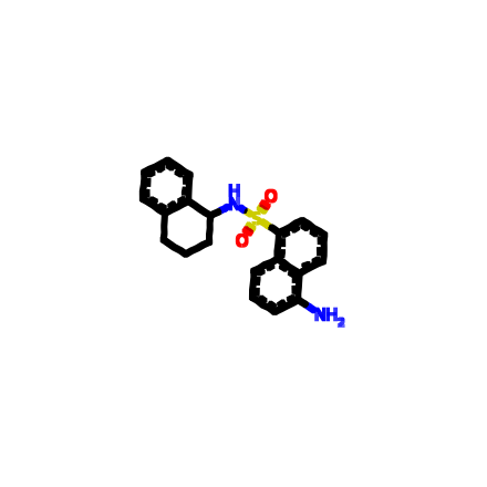 Nc1cccc2c(S(=O)(=O)NC3CCCc4ccccc43)cccc12